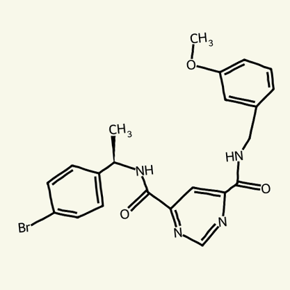 COc1cccc(CNC(=O)c2cc(C(=O)N[C@H](C)c3ccc(Br)cc3)ncn2)c1